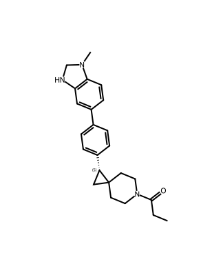 CCC(=O)N1CCC2(CC1)C[C@@H]2c1ccc(-c2ccc3c(c2)NCN3C)cc1